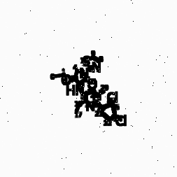 CCO[C@H]1CN(c2nccs2)C[C@H]1Nc1c(CC)nc(-c2ccc(Cl)cc2Cl)n(C)c1=O